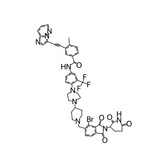 Cc1ccc(C(=O)Nc2ccc(N3CCN(C4CCN(Cc5ccc6c(c5Br)C(=O)N(C5CCC(=O)NC5=O)C6=O)CC4)CC3)c(C(F)(F)F)c2)cc1C#Cc1cnc2cccnn12